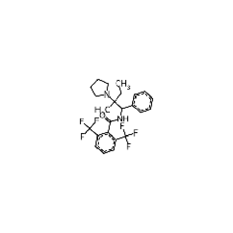 CCC(C)(C(NC(=O)c1c(C(F)(F)F)cccc1C(F)(F)F)c1ccccc1)N1CCCC1